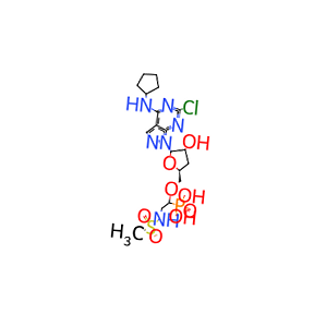 CS(=O)(=O)NCC(OC[C@@H]1C[C@@H](O)[C@H](n2ncc3c(NC4CCCC4)nc(Cl)nc32)O1)P(=O)(O)O